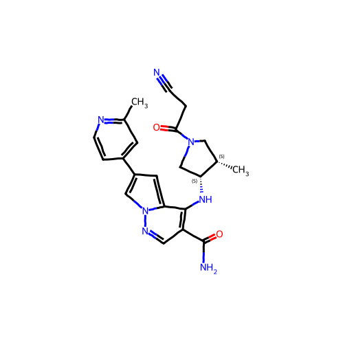 Cc1cc(-c2cc3c(N[C@@H]4CN(C(=O)CC#N)C[C@@H]4C)c(C(N)=O)cnn3c2)ccn1